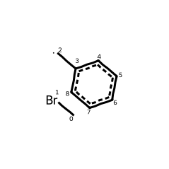 CBr.[CH2]c1ccccc1